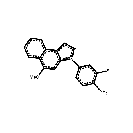 COc1cc2c(c[c]n2-c2ccc(N)c(F)c2)c2ccccc12